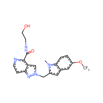 Cn1c(Cn2cc3c(C(=O)NCCO)nccc3n2)cc2cc(OC(F)(F)F)ccc21